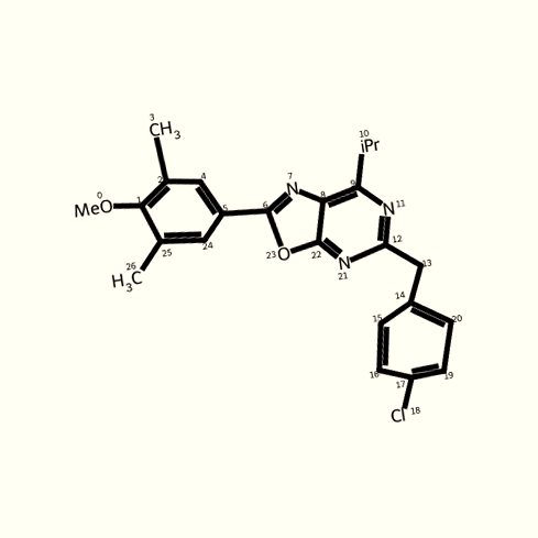 COc1c(C)cc(-c2nc3c(C(C)C)nc(Cc4ccc(Cl)cc4)nc3o2)cc1C